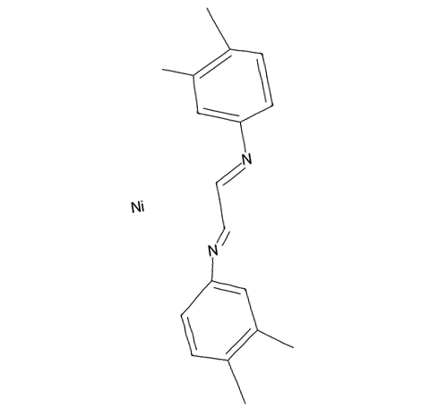 Cc1ccc(N=CC=Nc2ccc(C)c(C)c2)cc1C.[Ni]